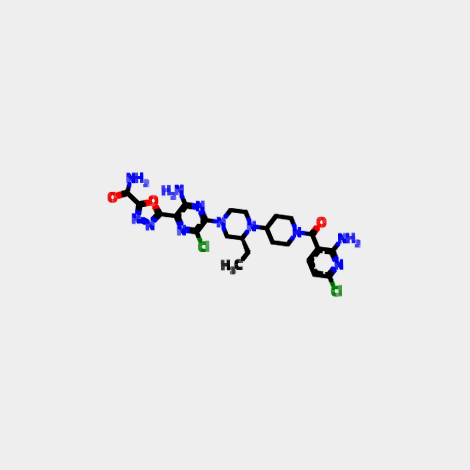 CC[C@H]1CN(c2nc(N)c(-c3nnc(C(N)=O)o3)nc2Cl)CCN1C1CCN(C(=O)c2ccc(Cl)nc2N)CC1